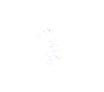 CON=C(C(=O)NC1C(=O)N2C(C(=O)O)=C(CSc3nnc(O)c(=O)n3C)CS[C@@H]12)c1nc(N)sc1Cl